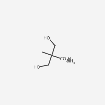 CC(CO)(CO)C(=O)O.[BiH3]